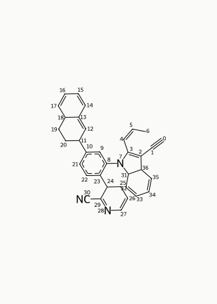 C#CC1=C(/C=C\C)N(c2cc(C3C=C4C=CC=CC4CC3)ccc2C2CC=CN=C2C#N)C2C=CC=CC12